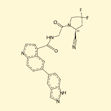 N#C[C@@H]1CC(F)(F)CN1C(=O)CNC(=O)c1ccnc2ccc(-c3ccc4[nH]ncc4c3)cc12